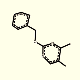 Cc1cnc(OCc2ccccc2)nc1C